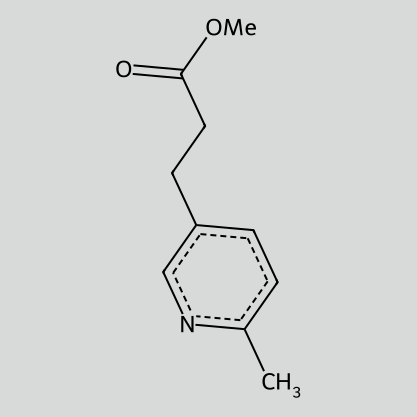 COC(=O)CCc1ccc(C)nc1